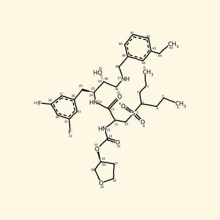 CCCC(CCC)S(=O)(=O)CC(NC(=O)O[C@H]1CCOC1)C(=O)N[C@@H](Cc1cc(F)cc(F)c1)[C@H](O)CNCc1cccc(CC)c1